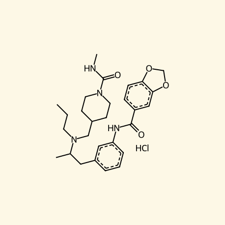 CCCN(CC1CCN(C(=O)NC)CC1)C(C)Cc1cccc(NC(=O)c2ccc3c(c2)OCO3)c1.Cl